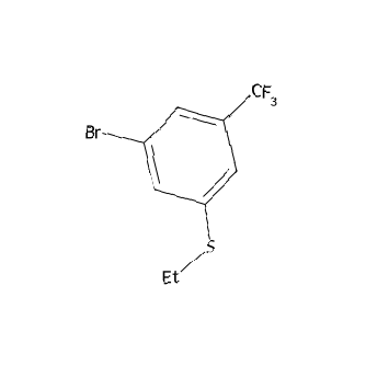 CCSc1cc(Br)cc(C(F)(F)F)c1